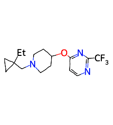 CCC1(CN2CCC(Oc3ccnc(C(F)(F)F)n3)CC2)CC1